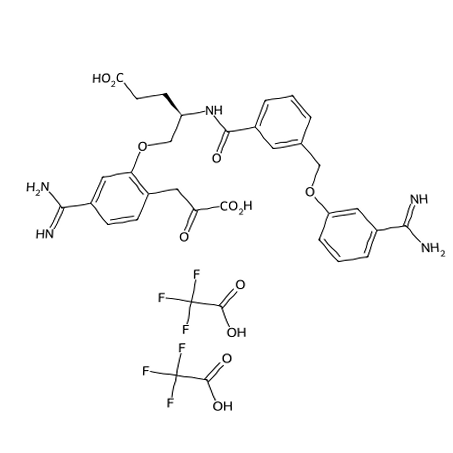 N=C(N)c1cccc(OCc2cccc(C(=O)N[C@H](CCC(=O)O)COc3cc(C(=N)N)ccc3CC(=O)C(=O)O)c2)c1.O=C(O)C(F)(F)F.O=C(O)C(F)(F)F